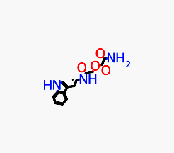 NC(=O)C(=O)OCC(=O)N[CH]Cc1c[nH]c2ccccc12